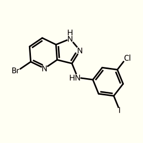 Clc1cc(I)cc(Nc2n[nH]c3ccc(Br)nc23)c1